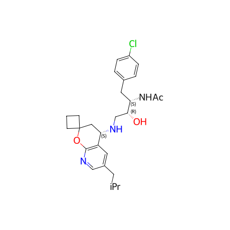 CC(=O)N[C@@H](Cc1ccc(Cl)cc1)[C@H](O)CN[C@H]1CC2(CCC2)Oc2ncc(CC(C)C)cc21